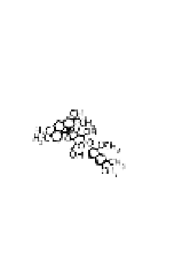 CC[C@@]1(C)CCC2C(CCC3C(C)(C)CCCC23C(=O)OC2C(CO)OC(Oc3ccc4cc(C)c(C)cc4c3OC)C(O)C2O)C1